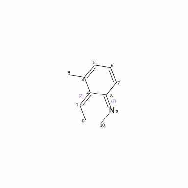 C/C=C1/C(C)=CC=C/C1=N/C